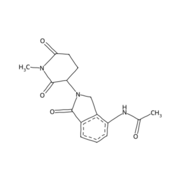 CC(=O)Nc1cccc2c1CN(C1CCC(=O)N(C)C1=O)C2=O